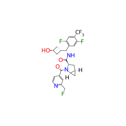 O=C(N[C@@H](c1cc(F)c(C(F)(F)F)cc1F)[C@H]1C[C@H](O)C1)[C@H]1C[C@H]2C[C@H]2N1C(=O)c1ccnc(CF)c1